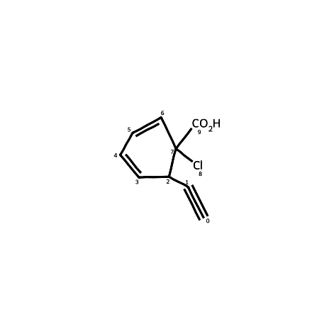 C#CC1C=CC=CC1(Cl)C(=O)O